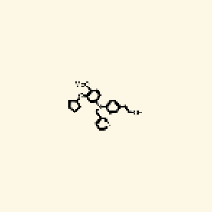 COc1ccc(N(Cc2cccnc2)c2ccc(CCO)cc2)cc1OC1CCCC1